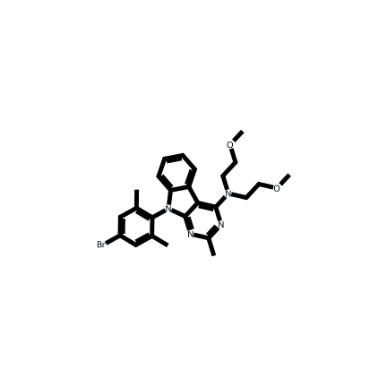 COCCN(CCOC)c1nc(C)nc2c1c1ccccc1n2-c1c(C)cc(Br)cc1C